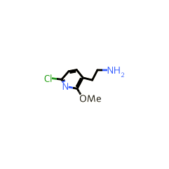 COc1nc(Cl)ccc1CCN